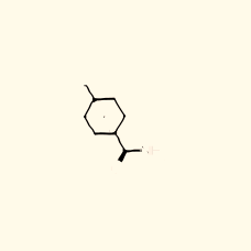 NC(=O)C12CCC(I)(CC1)CC2